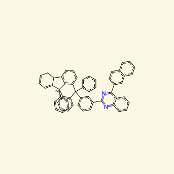 C1=CCC2C(=C1)[C@@]1(c3ccccc3)c3ccccc3C(c3ccccc3)(c3cccc(-c4nc(-c5ccc6ccccc6c5)c5ccccc5n4)c3)c3cccc2c31